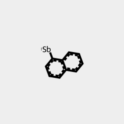 [Sb][c]1cccc2ccccc12